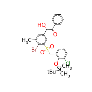 Cc1cc(C(O)C(=O)c2ccccc2)cc(S(=O)(=O)Cc2cccc(Cl)c2O[Si](C)(C)C(C)(C)C)c1Br